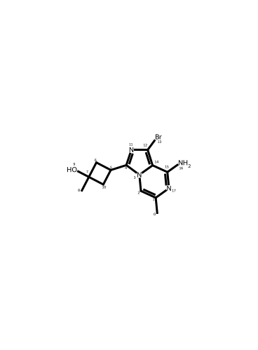 Cc1cn2c(C3CC(C)(O)C3)nc(Br)c2c(N)n1